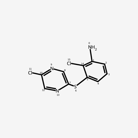 Nc1cccc(Sc2cnc(Cl)cn2)c1Cl